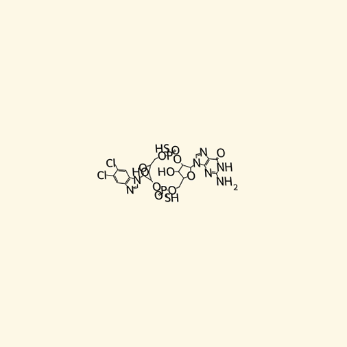 Nc1nc2c(ncn2C2OC3COP(=O)(S)OC4C(O)C(COP(=O)(S)OC2C3O)OC4n2cnc3cc(Cl)c(Cl)cc32)c(=O)[nH]1